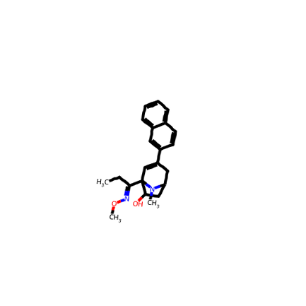 CCC(=NOC)C12C=C(c3ccc4ccccc4c3)CC(CC1O)N2C